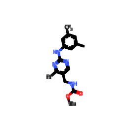 CCc1nc(Nc2cc(C)cc(C(F)(F)F)c2)ncc1CNC(=O)OC(C)(C)C